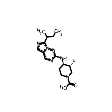 CCC(C)c1ncc2cnc(N[C@@H]3CCN(C(=O)O)C[C@H]3F)nn12